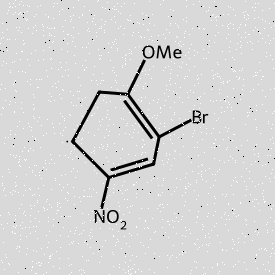 COC1=C(Br)C=C([N+](=O)[O-])[CH]C1